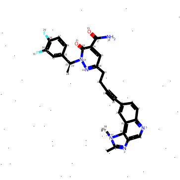 Cc1nc2cnc3ccc(C#CCCc4cc(C(N)=O)c(=O)n([C@@H](C)c5ccc(F)c(F)c5)n4)cc3c2n1C(C)C